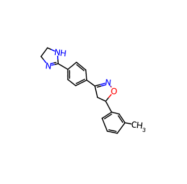 Cc1cccc(C2CC(c3ccc(C4=NCCN4)cc3)=NO2)c1